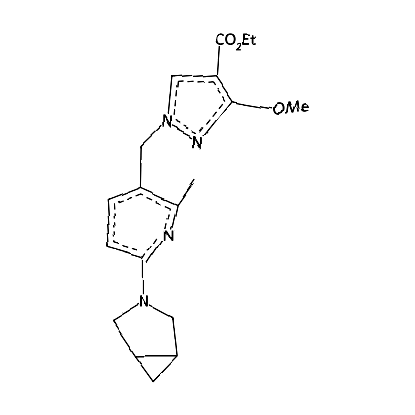 CCOC(=O)c1cn(Cc2ccc(N3CC4CC4C3)nc2C)nc1OC